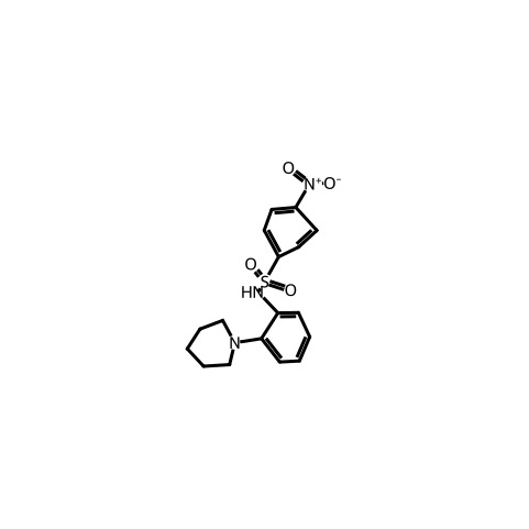 O=[N+]([O-])c1ccc(S(=O)(=O)Nc2ccccc2N2CCCCC2)cc1